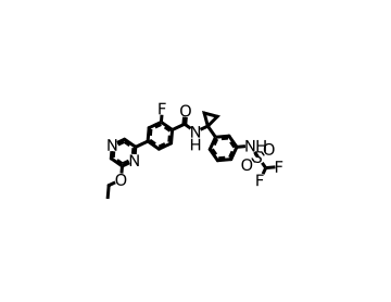 CCOc1cncc(-c2ccc(C(=O)NC3(c4cccc(NS(=O)(=O)C(F)F)c4)CC3)c(F)c2)n1